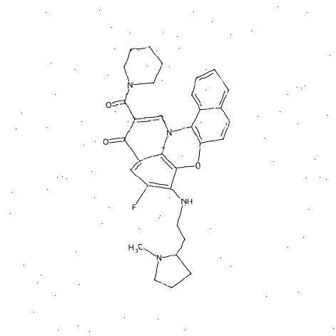 CN1CCCC1CCNc1c(F)cc2c(=O)c(C(=O)N3CCCCC3)cn3c2c1Oc1ccc2ccccc2c1-3